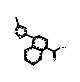 COC(=O)c1ccc(-c2nsc(C)n2)c2ccccc12